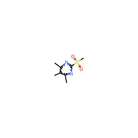 Cc1nc(S(C)(=O)=O)nc(C)c1C